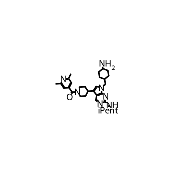 CCCC(C)Nc1ncc2c(C3CCN(C(=O)c4cc(C)nc(C)c4)CC3)cn(CC3CCC(N)CC3)c2n1